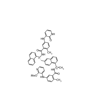 COc1ncccc1Nc1ccc(C)c(C(=O)N[C@H](C)c2cccc3cc(C[C@@H](NC(=O)c4cc(Nc5ccc[nH]c5=O)ccc4C)c4cccc5ccccc45)ccc23)c1